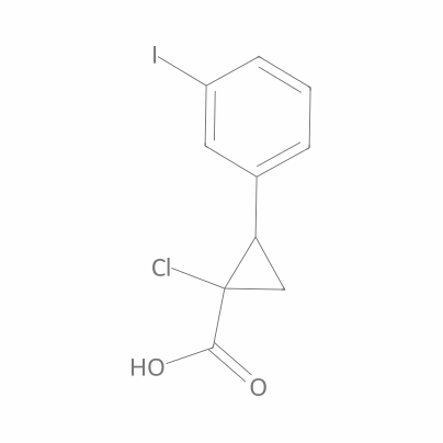 O=C(O)C1(Cl)CC1c1cccc(I)c1